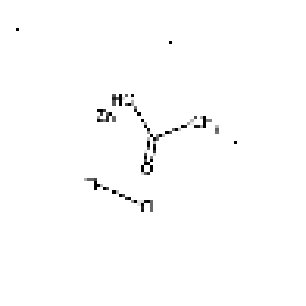 CC(=O)O.[Cl][Ti].[Zn]